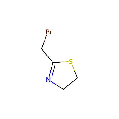 BrCC1=NCCS1